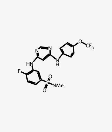 CNS(=O)(=O)c1ccc(F)c(Nc2cc(Nc3ccc(OC(F)(F)F)cc3)ncn2)c1